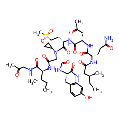 CC[C@H](C)[C@H](NC(=O)CN(C(=O)[C@H](CCS(C)(=O)=O)NC(=O)[C@H](CC(C)=O)NC(=O)[C@H](CCC(N)=O)NC(=O)[C@@H](NC(=O)[C@H](Cc1ccc(O)cc1)NC=O)[C@@H](C)CC)C1CC1)C(=O)NCC(C)=O